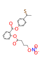 CC(=S)c1ccc(OC(=O)c2ccccc2OC(=O)CCCO[N+](=O)[O-])cc1